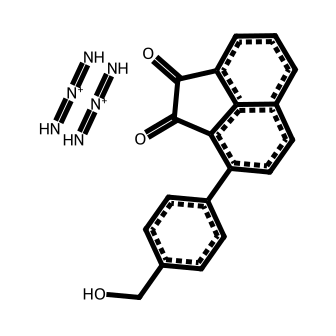 N=[N+]=N.N=[N+]=N.O=C1C(=O)c2c(-c3ccc(CO)cc3)ccc3cccc1c23